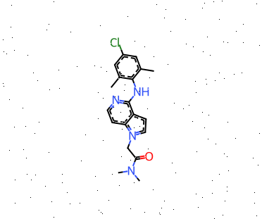 Cc1cc(Cl)cc(C)c1Nc1nccc2c1ccn2CC(=O)N(C)C